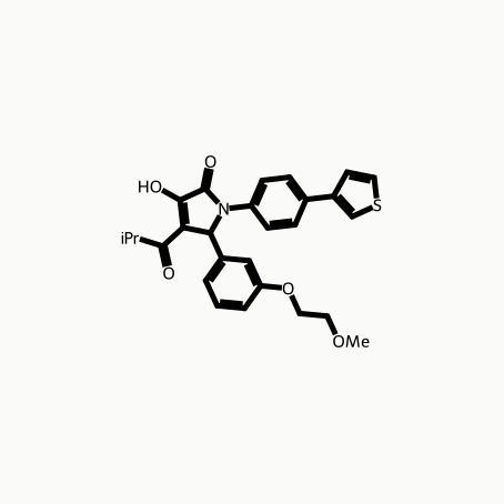 COCCOc1cccc(C2C(C(=O)C(C)C)=C(O)C(=O)N2c2ccc(-c3ccsc3)cc2)c1